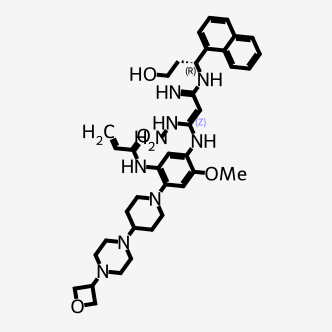 C=CC(=O)Nc1cc(N/C(=C/C(=N)N[C@H](CCO)c2cccc3ccccc23)NN)c(OC)cc1N1CCC(N2CCN(C3COC3)CC2)CC1